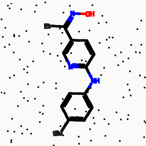 CC/C(=N/O)c1ccc(Nc2ccc(C(C)(C)C)cc2)nc1